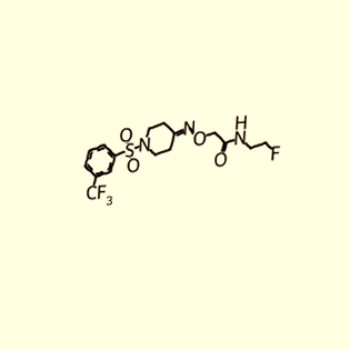 O=C(CON=C1CCN(S(=O)(=O)c2cccc(C(F)(F)F)c2)CC1)NCCF